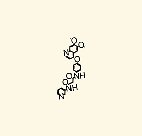 COc1cc2nccc(Oc3ccc(NC(=O)CC(=O)Nc4cccnc4)cc3)c2cc1OC